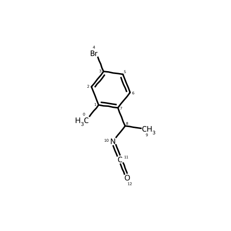 Cc1cc(Br)ccc1C(C)N=C=O